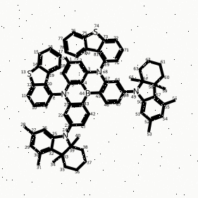 Cc1cc2c3c(c1)N(c1cccc4sc5ccccc5c14)c1cc(N4c5cc(C)cc(C)c5C5(C)CCCCC45C)ccc1B3c1ccc(N3c4cc(C)cc(C)c4C4(C)CCCCC34C)cc1N2c1cccc2sc3ccccc3c12